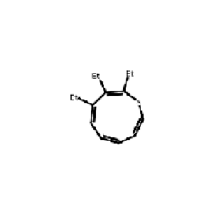 CCc1cccccsc(CC)c1CC